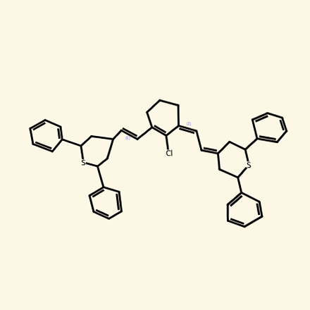 ClC1=C(/C=C/C2CC(c3ccccc3)SC(c3ccccc3)C2)CCC/C1=C/C=C1CC(c2ccccc2)SC(c2ccccc2)C1